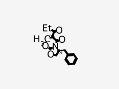 CCC(=O)[C@H](C)C(=O)N1C(=O)OC[C@@H]1Cc1ccccc1